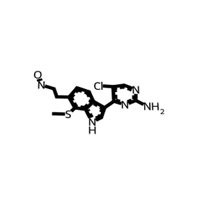 CSc1c(CCN=O)ccc2c(-c3nc(N)ncc3Cl)c[nH]c12